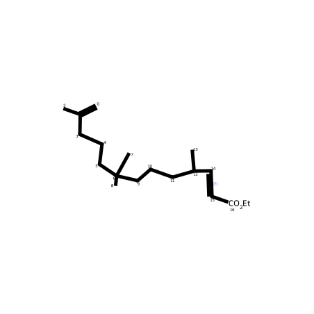 C=C(C)CCCC(C)(C)CCCC(C)/C=C/C(=O)OCC